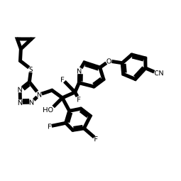 N#Cc1ccc(Oc2ccc(C(F)(F)C(O)(Cn3nnnc3SCC3CC3)c3ccc(F)cc3F)nc2)cc1